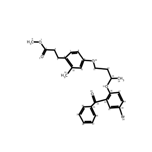 COC(=O)CCc1ccc(OCCC(C)Oc2ccc(Br)cc2C(=O)c2ccccc2)cc1C